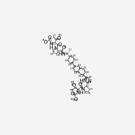 COC(=O)N[C@H](C(=O)N1CCC[C@H]1C(=O)N[C@H](C)c1ccc(-c2ccc3cc(-c4cnc([C@@H]5CCCN5C(=O)[C@@H](NC(=O)OC)[C@@H](C)OC)[nH]4)ccc3c2)cc1)[C@@H](C)OC